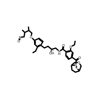 CCOc1cc(C(=O)N2CC3CCC2COC3)ccc1C(=O)NC[C@@H](O)CCc1ccc(OCC(C)C(C)CN=O)cc1CC